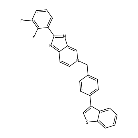 Fc1cccc(-c2nc3ccn(Cc4ccc(-c5csc6ccccc56)cc4)cc-3n2)c1F